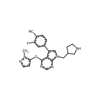 Cn1nccc1Oc1ncnc2c1c(-c1ccc(C#N)c(F)c1)cn2CC1CCNC1